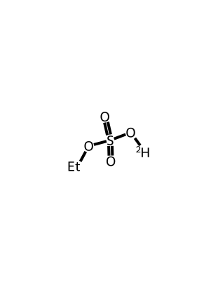 [2H]OS(=O)(=O)OCC